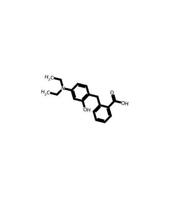 CCN(CC)c1ccc(Cc2ccccc2C(=O)O)c(O)c1